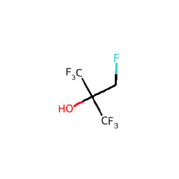 OC(CF)(C(F)(F)F)C(F)(F)F